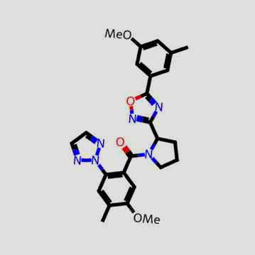 COc1cc(C)cc(-c2nc(C3CCCN3C(=O)c3cc(OC)c(C)cc3-n3nccn3)no2)c1